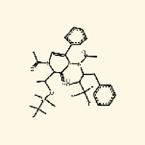 CC(=O)N1C=C(c2ccccc2)N(N(C(C)=O)C(Cc2ccccc2)C(O)C(F)(F)F)C(=O)C1C(C)O[Si](C)(C)C(C)(C)C